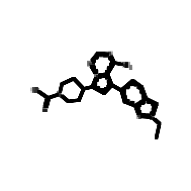 CCn1cc2ccc(-c3cc(C4CCN(C(=O)O)CC4)n4ncnc(N)c34)cc2n1